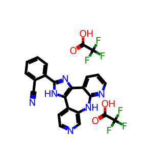 N#Cc1ccccc1-c1nc2c([nH]1)-c1ccncc1Nc1ncccc1-2.O=C(O)C(F)(F)F.O=C(O)C(F)(F)F